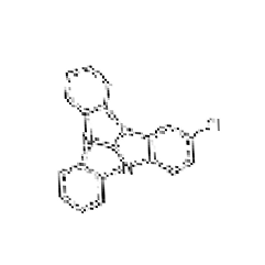 Clc1ccc2c(c1)c1c3ccccc3n3c4ccccc4n2c13